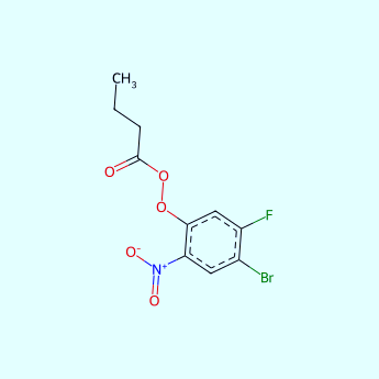 CCCC(=O)OOc1cc(F)c(Br)cc1[N+](=O)[O-]